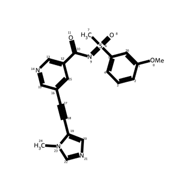 COc1cccc(S(C)(=O)=NC(=O)c2cncc(C#Cc3cncn3C)c2)c1